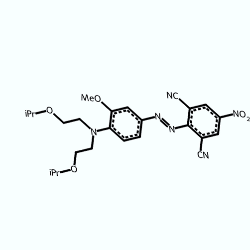 COc1cc(N=Nc2c(C#N)cc([N+](=O)[O-])cc2C#N)ccc1N(CCOC(C)C)CCOC(C)C